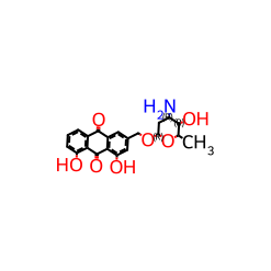 CC1O[C@@H](OCc2cc(O)c3c(c2)C(=O)c2cccc(O)c2C3=O)C[C@@H](N)[C@H]1O